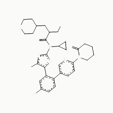 O=C(O)CC(CC1CCOCC1)C(=O)N(c1nc(-c2cc(F)ccc2-c2ccc(N3CCCCC3=O)nc2)c(F)s1)C1CC1